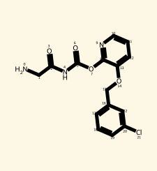 NCC(=O)NC(=O)Oc1ncccc1OCc1cccc(Cl)c1